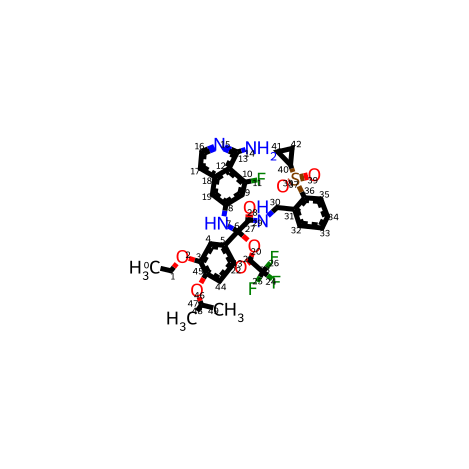 CCOc1cc(C(Nc2cc(F)c3c(N)nccc3c2)(OC(=O)C(F)(F)F)C(=O)NCc2ccccc2S(=O)(=O)C2CC2)ccc1OC(C)C